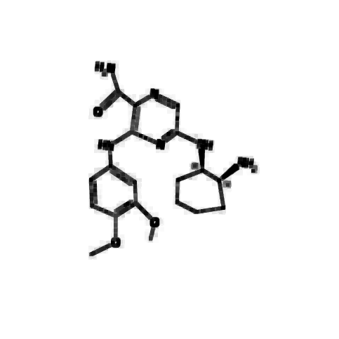 COc1ccc(Nc2nc(N[C@@H]3CCCC[C@@H]3N)cnc2C(N)=O)cc1OC